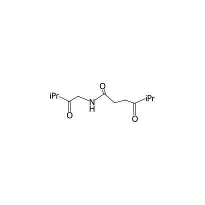 CC(C)C(=O)CCC(=O)NCC(=O)C(C)C